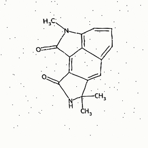 CN1C(=O)c2c3c(cc4cccc1c24)C(C)(C)NC3=O